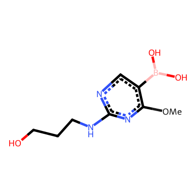 COc1nc(NCCCO)ncc1B(O)O